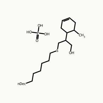 CCCCCCCCCCCCCCCCSCC(CO)C1CC=CCC1C.O=P(O)(O)O